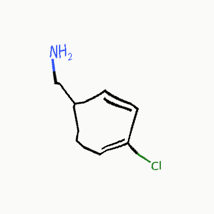 NCC1C=CC(Cl)=CC1